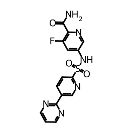 NC(=O)c1ncc(NS(=O)(=O)c2ccc(-c3ncccn3)cn2)cc1F